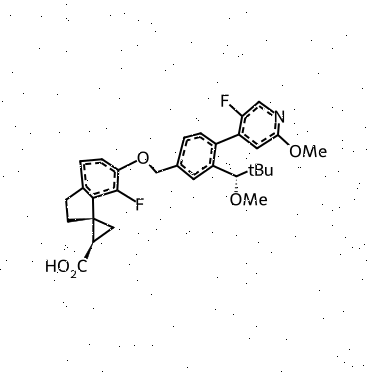 COc1cc(-c2ccc(COc3ccc4c(c3F)[C@]3(CC4)C[C@H]3C(=O)O)cc2[C@@H](OC)C(C)(C)C)c(F)cn1